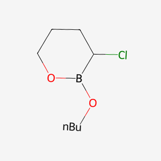 CCCCOB1OCCCC1Cl